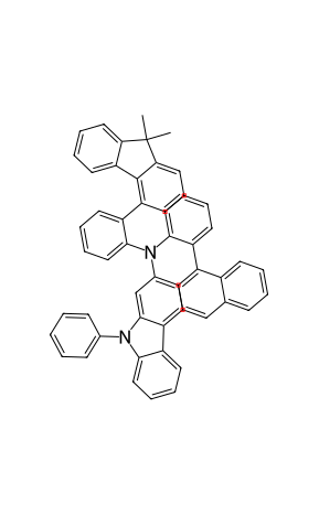 CC1(C)c2ccccc2-c2c(-c3ccccc3N(c3ccc4c5ccccc5n(-c5ccccc5)c4c3)c3ccccc3-c3cccc4ccccc34)cccc21